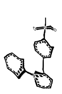 CS(=O)(=O)c1ccc(-c2cccn2-c2ccccc2)cc1